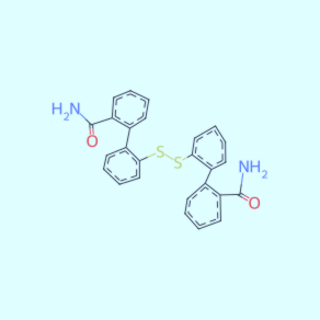 NC(=O)c1ccccc1-c1ccccc1SSc1ccccc1-c1ccccc1C(N)=O